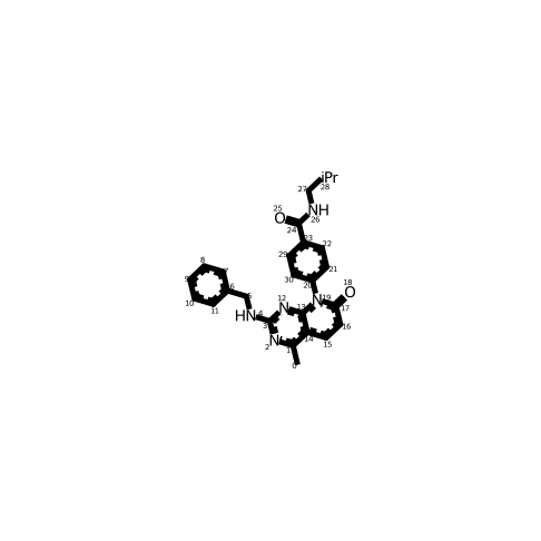 Cc1nc(NCc2ccccc2)nc2c1ccc(=O)n2-c1ccc(C(=O)NCC(C)C)cc1